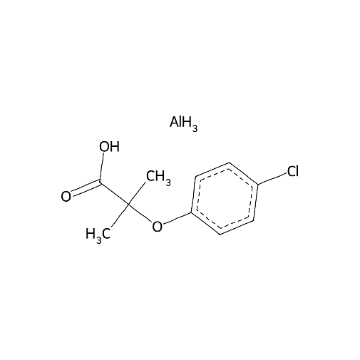 CC(C)(Oc1ccc(Cl)cc1)C(=O)O.[AlH3]